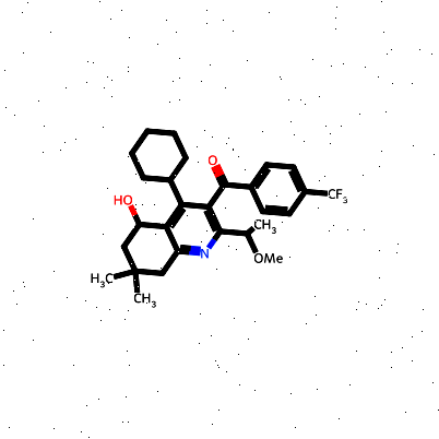 COC(C)c1nc2c(c(C3CCCCC3)c1C(=O)c1ccc(C(F)(F)F)cc1)C(O)CC(C)(C)C2